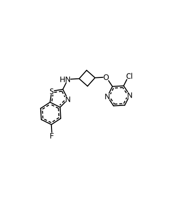 Fc1ccc2sc(NC3CC(Oc4nccnc4Cl)C3)nc2c1